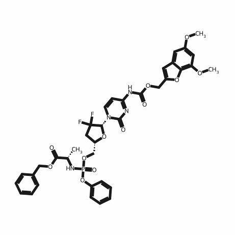 COc1cc(OC)c2oc(COC(=O)Nc3ccn([C@@H]4O[C@H](COP(=O)(N[C@@H](C)C(=O)OCc5ccccc5)Oc5ccccc5)CC4(F)F)c(=O)n3)cc2c1